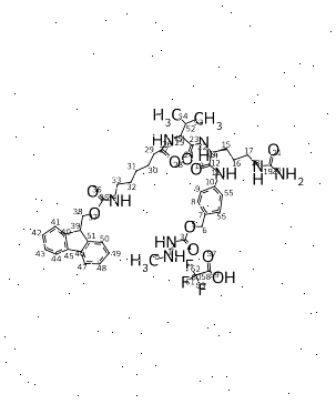 CNNC(=O)OCc1ccc(NC(=O)[C@H](CCCNC(N)=O)NC(=O)[C@@H](NC(=O)CCCCCNC(=O)OCC2c3ccccc3-c3ccccc32)C(C)C)cc1.O=C(O)C(F)(F)F